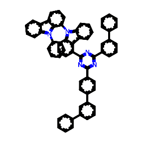 c1ccc(-c2cccc(-c3ccc(-c4nc(-c5cccc(-c6ccccc6)c5)nc(-c5cccc6c5c5ccccc5n6-c5cccc6c7ccccc7n(-c7ccccc7)c56)n4)cc3)c2)cc1